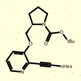 CCCCCCC#Cc1ncccc1OC[C@H]1CCCN1C(=O)OC(C)(C)C